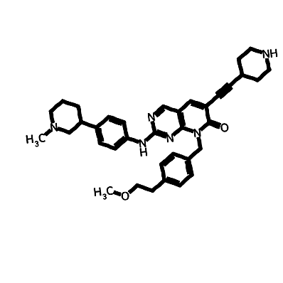 COCCc1ccc(Cn2c(=O)c(C#CC3CCNCC3)cc3cnc(Nc4ccc(C5CCCN(C)C5)cc4)nc32)cc1